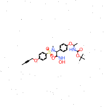 CC#CCOc1ccc(S(=O)(=O)N(C)C(C(=O)NO)c2ccc(OC(C)NC(=O)OC(C)(C)C)cc2)cc1